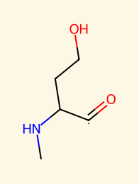 CNC([C]=O)CCO